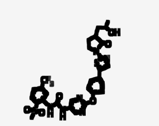 CC(O)CC1CCN(c2ncc(-c3ccc(Oc4ncc(NC(=O)Nc5cc(C(F)(F)F)ccc5S(C)(=O)=O)cn4)cc3)s2)C1=O